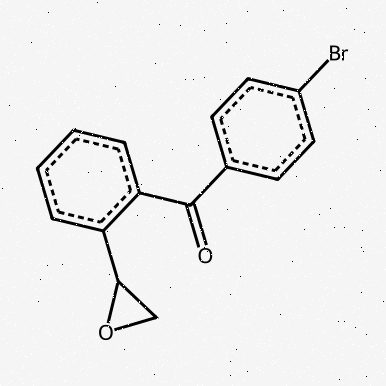 O=C(c1ccc(Br)cc1)c1ccccc1C1CO1